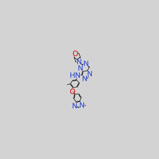 Cc1cc(Nc2ncnc3cnc(N4CC5CC4CO5)nc23)ccc1Oc1ccc2c(c1)ncn2C